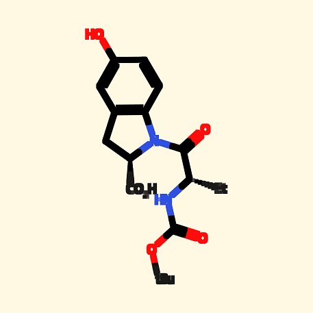 CC[C@H](NC(=O)OC(C)(C)C)C(=O)N1c2ccc(O)cc2C[C@@H]1C(=O)O